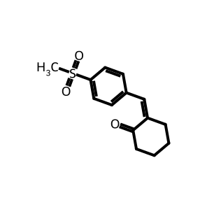 CS(=O)(=O)c1ccc(/C=C2/CCCCC2=O)cc1